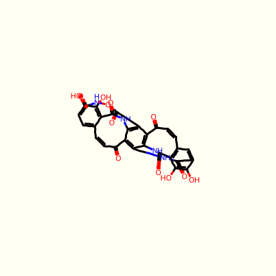 O=c1[nH]c2c3[nH]c(=O)c4c(O)c(O)c1cc4ccc(=O)c3c1c(=O)o[nH]c(=O)c3cc4ccc(=O)c2c1[nH]c(=O)c4c(O)c3O